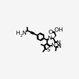 Cc1sc2c(c1C)C(c1ccc(C#CC(C)N)cc1)=N[C@@H](CC(=O)O)c1nnc(C)n1-2